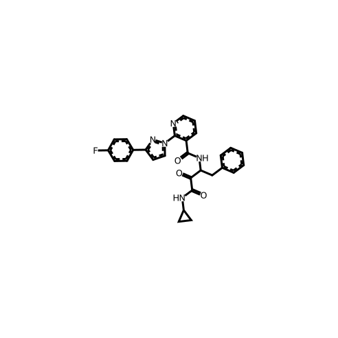 O=C(NC1CC1)C(=O)C(Cc1ccccc1)NC(=O)c1cccnc1-n1ccc(-c2ccc(F)cc2)n1